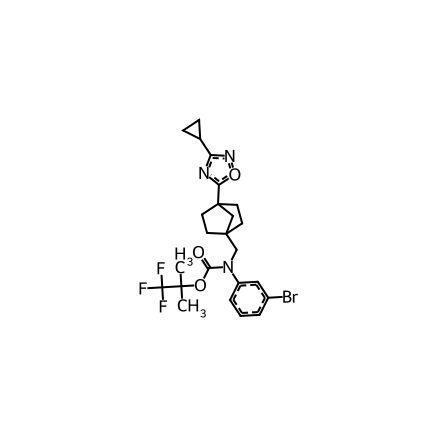 CC(C)(OC(=O)N(CC12CCC(c3nc(C4CC4)no3)(CC1)C2)c1cccc(Br)c1)C(F)(F)F